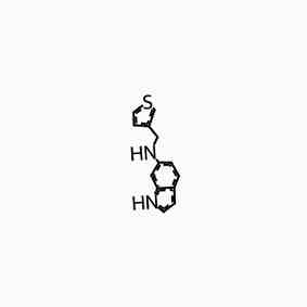 c1cc2ccc(NCc3ccsc3)cc2[nH]1